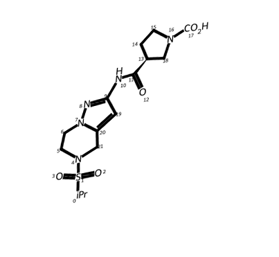 CC(C)S(=O)(=O)N1CCn2nc(NC(=O)[C@H]3CCN(C(=O)O)C3)cc2C1